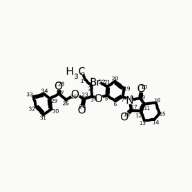 CCCC(Oc1cc(N2C(=O)C3=C(CCCC3)C2=O)ccc1Br)C(=O)OCC(=O)c1ccccc1